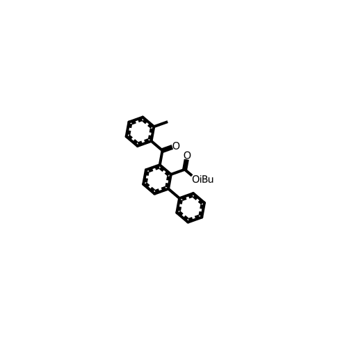 Cc1ccccc1C(=O)c1cccc(-c2ccccc2)c1C(=O)OCC(C)C